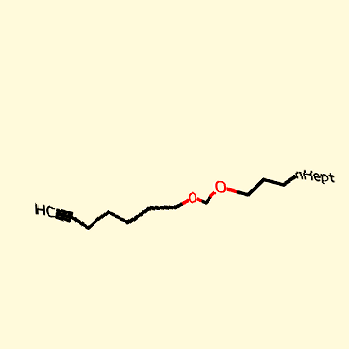 C#CCCCCCOCOCCCCCCCCCC